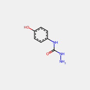 NNC(=O)Nc1ccc(O)cc1